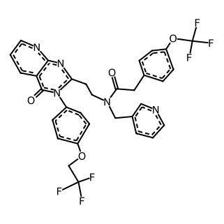 O=C(Cc1ccc(OC(F)(F)F)cc1)N(CCc1nc2ncccc2c(=O)n1-c1ccc(OCC(F)(F)F)cc1)Cc1cccnc1